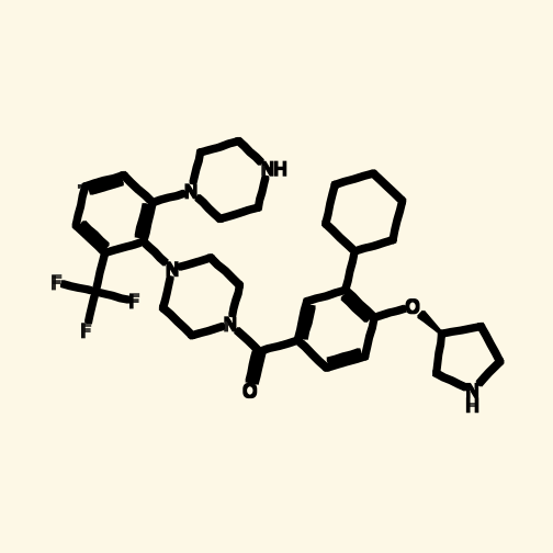 O=C(c1ccc(O[C@H]2CCNC2)c(C2CCCCC2)c1)N1CCN(c2c(N3CCNCC3)c[c]cc2C(F)(F)F)CC1